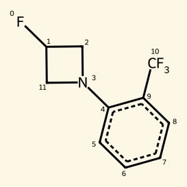 FC1CN(c2ccccc2C(F)(F)F)C1